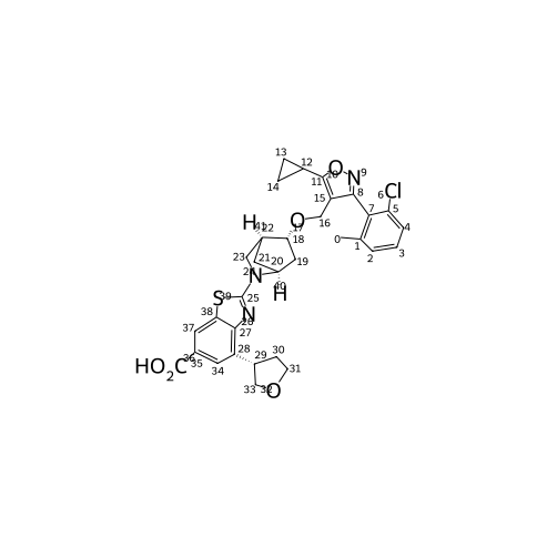 Cc1cccc(Cl)c1-c1noc(C2CC2)c1CO[C@@H]1C[C@@H]2C[C@H]1CN2c1nc2c([C@@H]3CCOC3)cc(C(=O)O)cc2s1